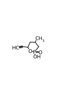 C#CC1CC(C)CP(=O)(O)O1